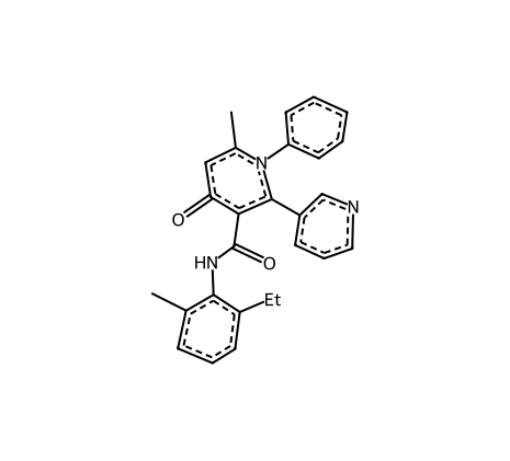 CCc1cccc(C)c1NC(=O)c1c(-c2cccnc2)n(-c2ccccc2)c(C)cc1=O